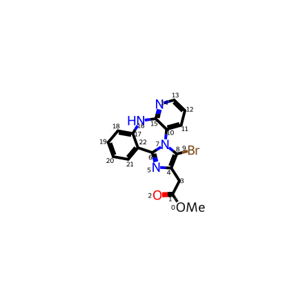 COC(=O)Cc1nc2n(c1Br)-c1cccnc1Nc1ccccc1-2